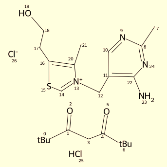 CC(C)(C)C(=O)CC(=O)C(C)(C)C.Cc1ncc(C[n+]2csc(CCO)c2C)c(N)n1.Cl.[Cl-]